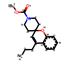 CC(C)(C)OC(=O)N1CCC2(C=C(CCC#N)c3ccccc3O2)CC1